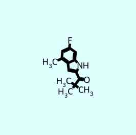 Cc1cc(F)cc2[nH]c(C(=O)C(C)(C)C)cc12